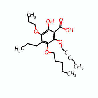 CCCCCOc1c(CCC)c(OCCC)c(O)c(C(=O)O)c1OCCCCC